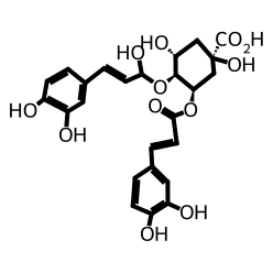 O=C(/C=C/c1ccc(O)c(O)c1)O[C@@H]1C[C@@](O)(C(=O)O)C[C@@H](O)[C@@H]1OC(O)/C=C/c1ccc(O)c(O)c1